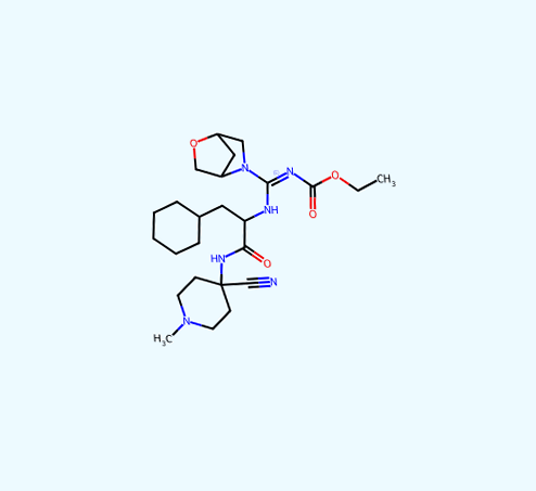 CCOC(=O)/N=C(\NC(CC1CCCCC1)C(=O)NC1(C#N)CCN(C)CC1)N1CC2CC1CO2